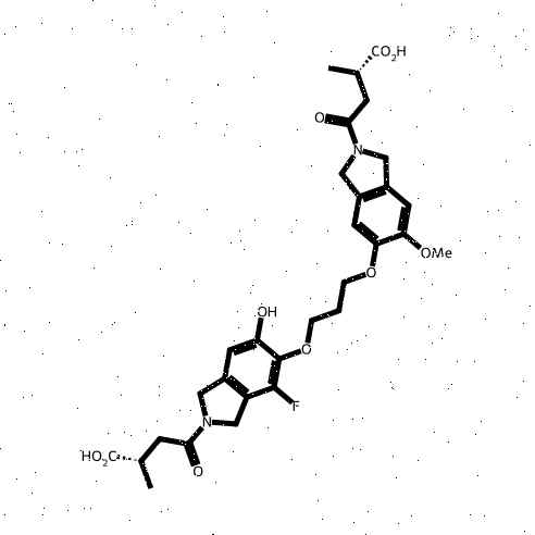 COc1cc2c(cc1OCCCOc1c(O)cc3c(c1F)CN(C(=O)C[C@H](C)C(=O)O)C3)CN(C(=O)C[C@H](C)C(=O)O)C2